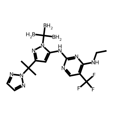 BC(B)(B)n1nc(C(C)(C)n2nccn2)cc1Nc1ncc(C(F)(F)F)c(NCC)n1